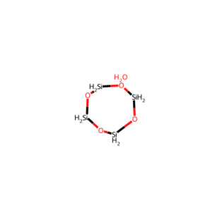 O.O1[SiH2]O[SiH2]O[SiH2]O[SiH2]1